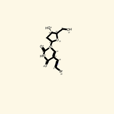 O=c1[nH]c(=O)n(C2C[C@H](O)C(CO)O2)cc1/C=C/Br